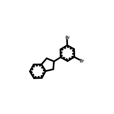 Brc1cc(Br)cc(C2Cc3ccccc3C2)c1